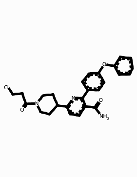 NC(=O)c1ccc(C2CCN(C(=O)CCCl)CC2)nc1-c1ccc(Oc2ccccc2)cc1